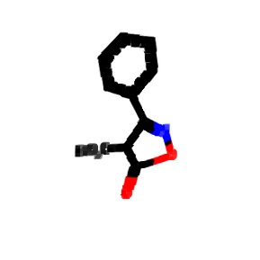 CCOC(=O)C1C(=O)ON=C1c1ccccc1